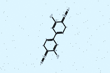 [N-]=[N+]=C1CC=C(C2=CCC(=[N+]=[N-])C(Cl)=C2)C=C1Cl